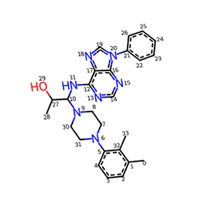 Cc1cccc(N2CCN(C(Nc3ncnc4c3ncn4-c3ccccc3)C(C)O)CC2)c1C